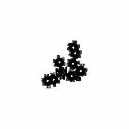 c1ccc(-c2nc(-c3ccc4ccccc4c3)nc(-c3ccc4sc5cccc(-c6cccc(-c7ccc8ccccc8c7)c6)c5c4c3)n2)cc1